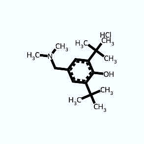 CN(C)Cc1cc(C(C)(C)C)c(O)c(C(C)(C)C)c1.Cl